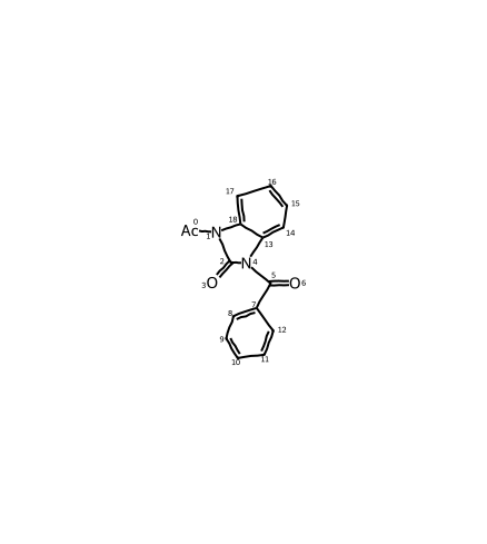 CC(=O)n1c(=O)n(C(=O)c2ccccc2)c2ccccc21